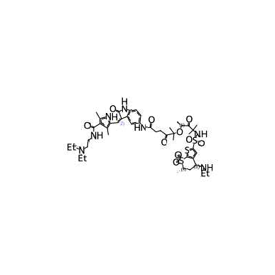 CCN[C@H]1C[C@H](C)S(=O)(=O)c2sc(S(=O)(=O)NC(C)(C)C(=O)[C@H](C)OC(C)(C)C(=O)CCC(=O)Nc3ccc4c(c3)/C(=C/c3[nH]c(C)c(C(=O)NCCN(CC)CC)c3C)C(=O)N4)cc21